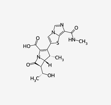 CNC(=O)c1ncn2cc(C3=C(C(=O)O)N4C(=O)[C@H]([C@@H](C)O)[C@H]4[C@H]3C)sc12